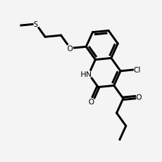 CCCC(=O)c1c(Cl)c2cccc(OCCSC)c2[nH]c1=O